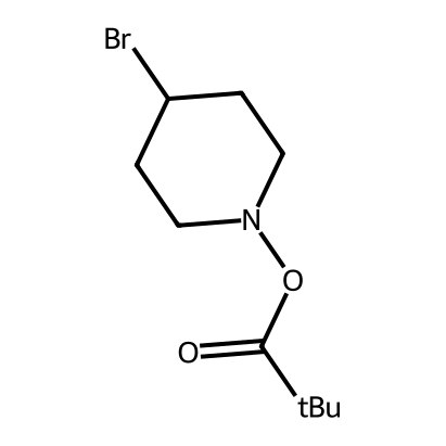 CC(C)(C)C(=O)ON1CCC(Br)CC1